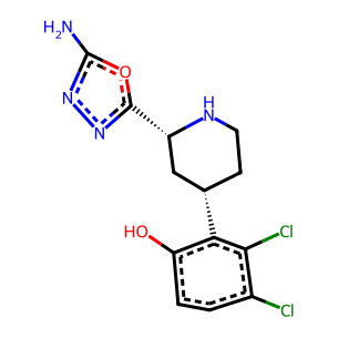 Nc1nnc([C@H]2C[C@@H](c3c(O)ccc(Cl)c3Cl)CCN2)o1